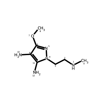 CNCCn1nc(OC)c(N)c1N